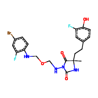 CC1(CCc2ccc(O)c(F)c2)NC(=O)N(NCOCNc2ccc(Br)cc2F)C1=O